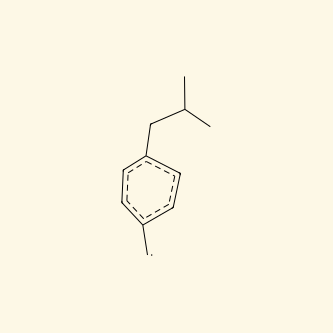 [CH2]c1ccc(CC(C)C)cc1